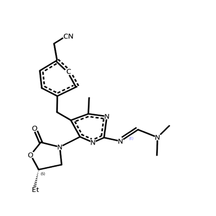 CC[C@H]1CN(c2nc(/N=C/N(C)C)nc(C)c2Cc2ccc(CC#N)cc2)C(=O)O1